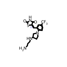 NCCCNC1CCN(c2ccc(C(F)(F)F)cc2/C=C2/SC(=O)NC2=O)C1